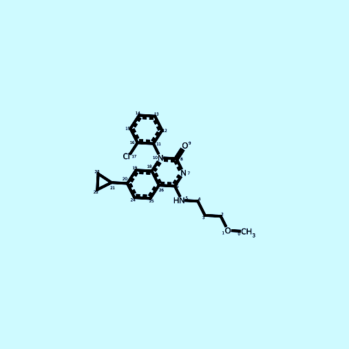 COCCCNc1nc(=O)n(-c2ccccc2Cl)c2cc(C3CC3)ccc12